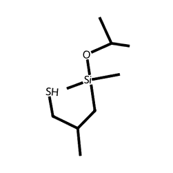 CC(CS)C[Si](C)(C)OC(C)C